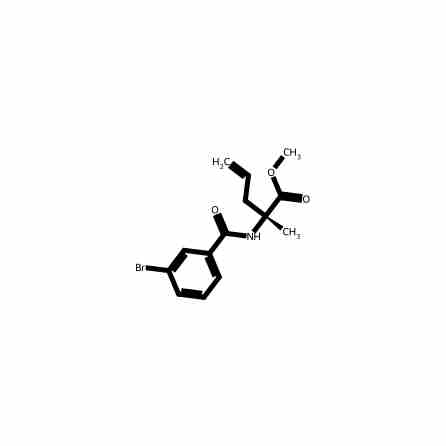 C=CC[C@@](C)(NC(=O)c1cccc(Br)c1)C(=O)OC